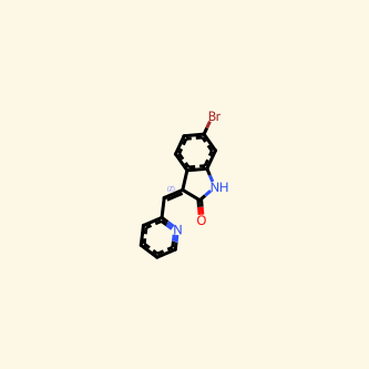 O=C1Nc2cc(Br)ccc2/C1=C/c1ccccn1